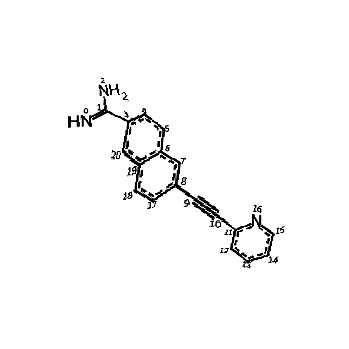 N=C(N)c1ccc2cc(C#Cc3ccccn3)ccc2c1